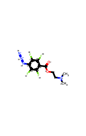 CN(C)CCOC(=O)c1c(F)c(F)c(N=[N+]=[N-])c(F)c1F